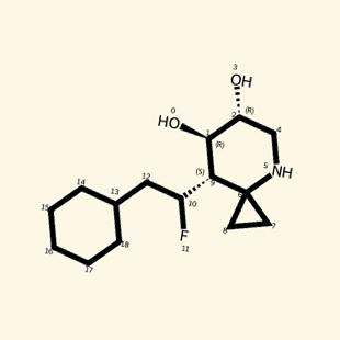 O[C@H]1[C@H](O)CNC2(CC2)[C@@H]1C(F)CC1CCCCC1